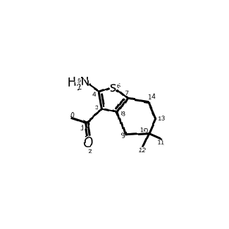 CC(=O)c1c(N)sc2c1CC(C)(C)CC2